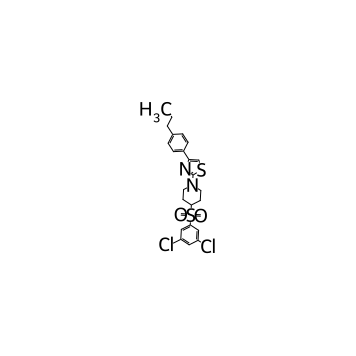 CCCc1ccc(-c2csc(N3CCC(S(=O)(=O)c4cc(Cl)cc(Cl)c4)CC3)n2)cc1